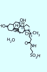 C[C@H](CCC(=O)NCCS(=O)(=O)O)[C@H]1CC[C@H]2[C@@H]3[C@@H](O)CC4C[C@H](O)CC[C@]4(C)[C@H]3CC[C@]12C.O